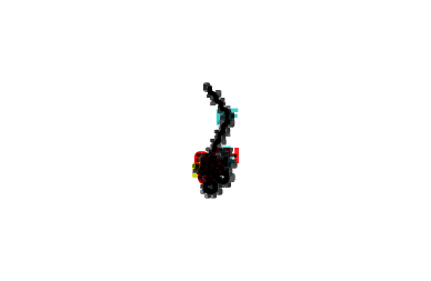 CCCCCCCC(F)(F)CCCCCC/C=C/[C@H](C(=O)N1C(=S)OC(c2ccccc2)(c2ccccc2)[C@@H]1C(C)C)[C@@](O)(CC(F)F)C(=O)OC(C)(C)C